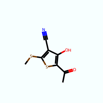 CSc1sc(C(C)=O)c(O)c1C#N